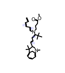 C=C/C=C\C=C\N(CCCC(=O)OC)/C(=C/C=C/C1CN(C)C2=CC=CC=C(C2)C1(C)C)C(C)(C)C